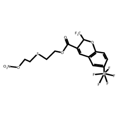 O=C(OCCSCCO[N+](=O)[O-])C1=Cc2cc(S(F)(F)(F)(F)F)ccc2OC1C(F)(F)F